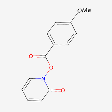 COc1ccc(C(=O)On2ccccc2=O)cc1